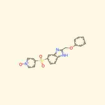 O=S(=O)(c1cc[n+]([O-])cc1)c1ccc2[nH]c(COc3ccccc3)nc2c1